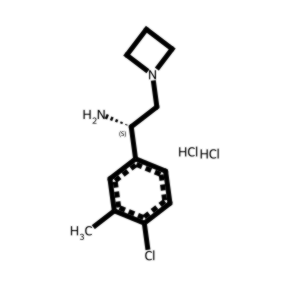 Cc1cc([C@H](N)CN2CCC2)ccc1Cl.Cl.Cl